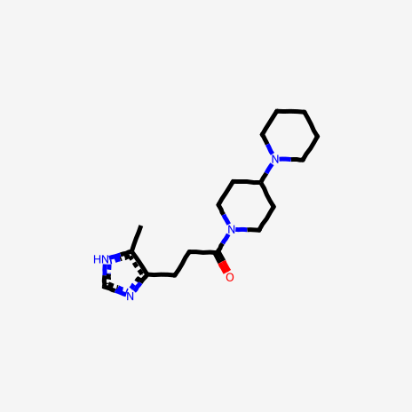 Cc1[nH]cnc1CCC(=O)N1CCC(N2CCCCC2)CC1